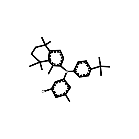 Cc1cc(Cl)cc(N(c2ccc(C(C)(C)C)cc2)c2ccc3c(c2C)C(C)(C)CCC3(C)C)c1